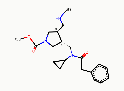 CC(C)NC[C@@H]1CN(C(=O)OC(C)(C)C)C[C@H]1CN(C(=O)Cc1ccccc1)C1CC1